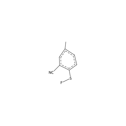 Cc1ccc(SF)c(C#N)c1